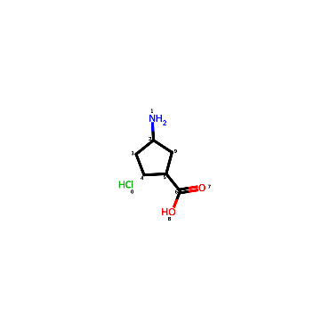 Cl.NC1CCC(C(=O)O)C1